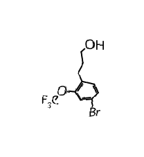 OCCCc1ccc(Br)cc1OC(F)(F)F